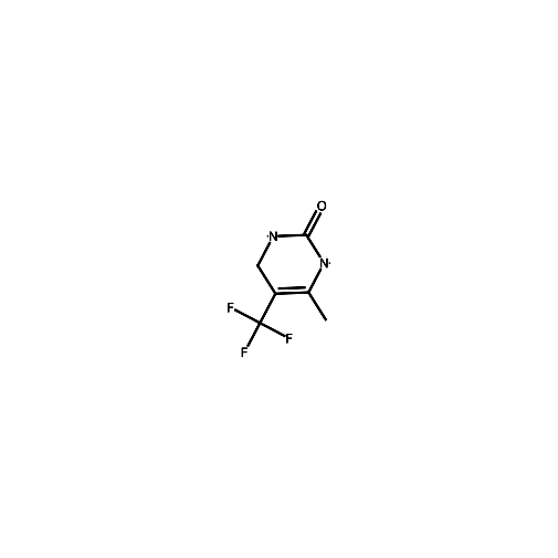 CC1=C(C(F)(F)F)C[N]C(=O)[N]1